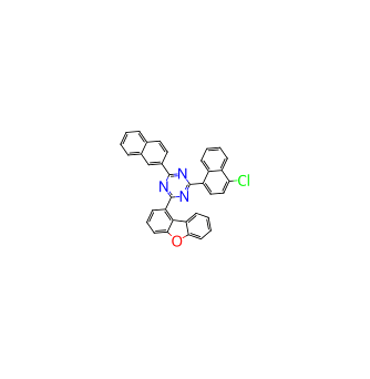 Clc1ccc(-c2nc(-c3ccc4ccccc4c3)nc(-c3cccc4oc5ccccc5c34)n2)c2ccccc12